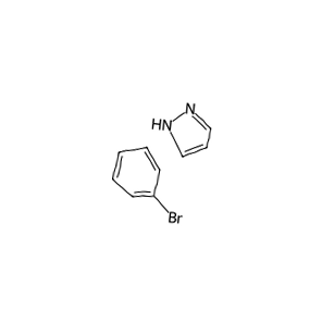 Brc1ccccc1.c1cn[nH]c1